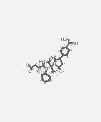 CC(=O)[C@](C(=O)O)(N1C(=O)CC(c2ccc(C(=N)N)cc2)C1=O)N(C(=O)[C@@H](N)CC(=O)O)c1ccccc1